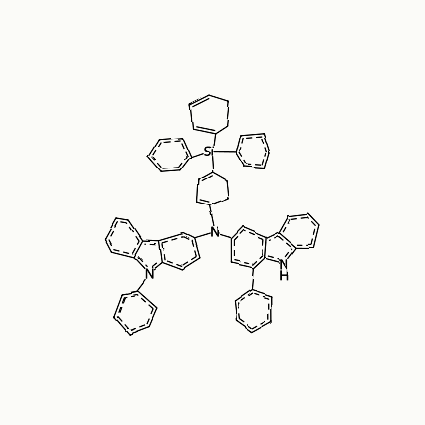 C1=CCCC([Si](C2=CC=C(N(c3cc(-c4ccccc4)c4[nH]c5ccccc5c4c3)c3ccc4c(c3)c3ccccc3n4-c3ccccc3)CC2)(c2ccccc2)c2ccccc2)=C1